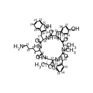 CC(C)[C@@H]1NC(=O)C(CCCCN)NC(=O)C(Cc2c[nH]c3ccccc23)NC(=O)C(Cc2ccc(O)cc2)NC(=O)[C@H](C)N(C)C(=O)[C@H](Cc2ccccc2)NC1=O